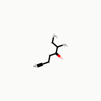 C#CCCC(=O)C(C)CC